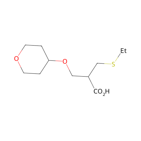 CCSCC(COC1CCOCC1)C(=O)O